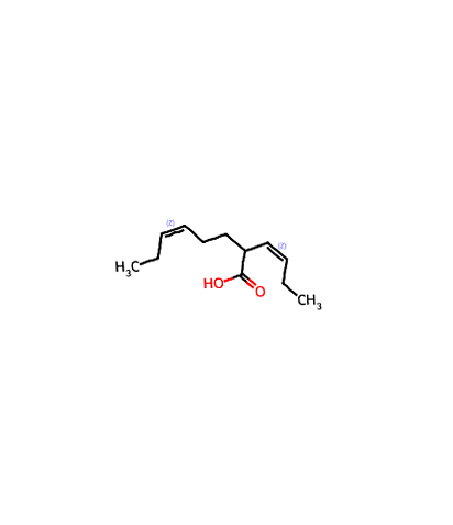 CC/C=C\CCC(/C=C\CC)C(=O)O